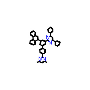 Cc1cc(C)nc(-c2ccc(-c3cc(-c4nc(-c5ccccc5)cc(-c5ccccc5)n4)cc(-c4cc5ccccc5c5ccccc45)c3)cc2)n1